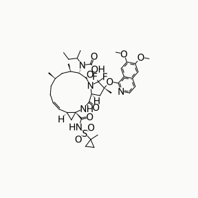 CCC(C)N(C(=O)O)[C@@H]1C(=O)N2[C@@H](C[C@@](C)(Oc3nccc4cc(OC)c(OC)cc34)C2(F)F)C(=O)N[C@]2(C(=O)NS(=O)(=O)C3(C)CC3)C[C@H]2/C=C\CC[C@@H](C)C[C@H]1C